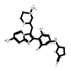 Cc1ccn2c(CC3CN(C)CCO3)c(-c3c(F)cc(NC4CCC(=O)C4)cc3F)nc2c1